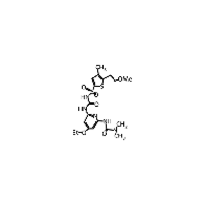 CCOc1cc(NC(=O)NS(=O)(=O)c2cc(C)c(CCOC)s2)nc(NC(=O)N(C)C)c1